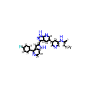 C=C(CC(C)C)Nc1cncc(-c2cnc3[nH]nc(-c4cc5c(-c6ccc(F)cc6)nccc5[nH]4)c3c2)c1